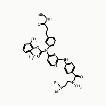 CCCCNC(=O)CCc1cccc(N(C(=O)Oc2c(C)cccc2C)c2ccnc(Nc3ccc(C(=O)N(C)CCN(CC)CC)cc3)n2)c1